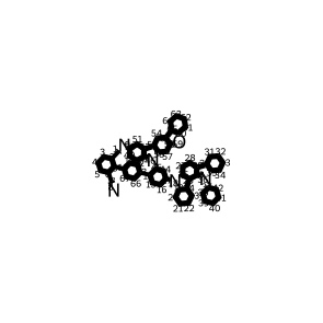 N#Cc1cccc(C#N)c1-c1ccc(-c2ccc(-n3c4ccccc4c4c3ccc3c5ccccc5n(-c5ccccc5)c34)cc2-n2c3ccccc3c3cc4c(cc32)oc2ccccc24)cc1